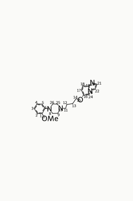 COc1ccccc1N1CCN(CCCCOc2ccc3nccn3c2)CC1